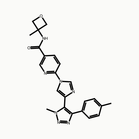 Cc1ccc(-c2nnn(C)c2-c2cn(-c3ccc(C(=O)NC4(C)COC4)cn3)cn2)cc1